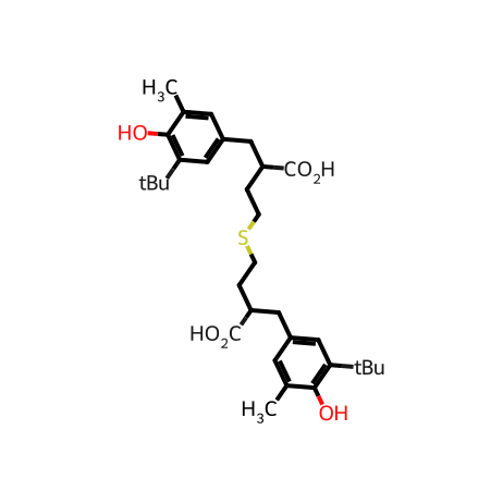 Cc1cc(CC(CCSCCC(Cc2cc(C)c(O)c(C(C)(C)C)c2)C(=O)O)C(=O)O)cc(C(C)(C)C)c1O